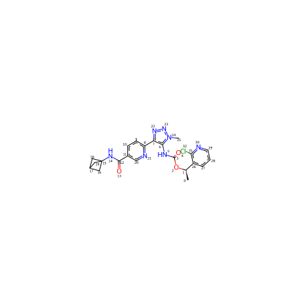 C[C@@H](OC(=O)Nc1c(-c2ccc(C(=O)NC34CC(C3)C4)cn2)nnn1C)c1cccnc1Cl